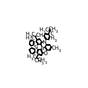 Cc1cc2c3c(c1)N(c1ccc(C(C)(C)C)cc1)c1cc(C(C)(C)C)cc4c1B3c1c(cc(C(C)(C)C)cc1[Si]4(c1ccccc1)c1ccccc1)O2